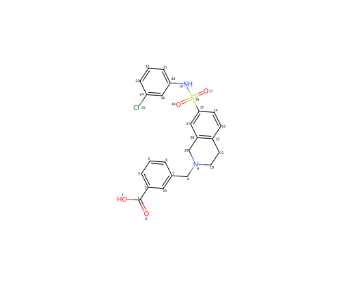 O=C(O)c1cccc(CN2CCc3ccc(S(=O)(=O)Nc4cccc(Cl)c4)cc3C2)c1